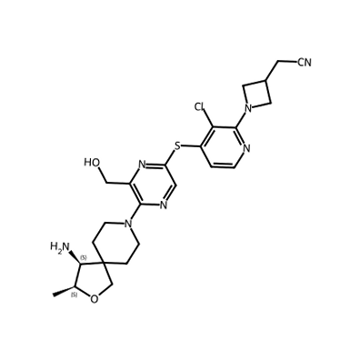 C[C@@H]1OCC2(CCN(c3ncc(Sc4ccnc(N5CC(CC#N)C5)c4Cl)nc3CO)CC2)[C@@H]1N